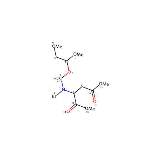 CCN([SiH2]OC(COC)OC)C(CC(=O)OC)C(=O)OC